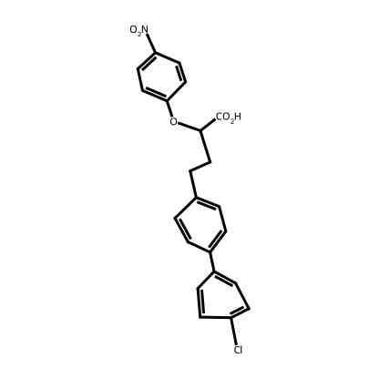 O=C(O)C(CCc1ccc(-c2ccc(Cl)cc2)cc1)Oc1ccc([N+](=O)[O-])cc1